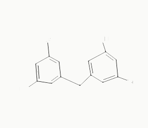 O=Cc1cc(Br)cc(Cc2cc(Br)cc(C=O)c2)c1